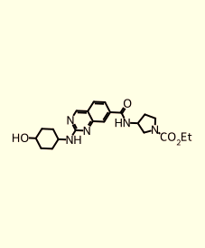 CCOC(=O)N1CCC(NC(=O)c2ccc3cnc(NC4CCC(O)CC4)nc3c2)C1